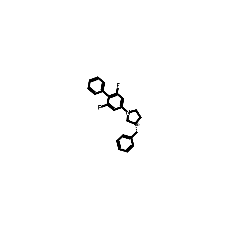 Fc1cc(N2CC[C@H](Cc3ccccc3)C2)cc(F)c1-c1ccccc1